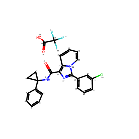 O=C(NC1(c2ccccc2)CC1)c1nc(-c2cccc(Cl)c2)n2ccccc12.O=C(O)C(F)(F)F